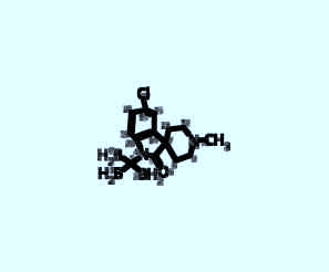 BC(B)(B)N1C(=O)C2(CCN(C)CC2)c2cc(Cl)ccc21